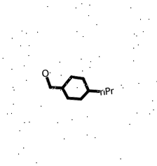 CCCC1CCC(C[O])CC1